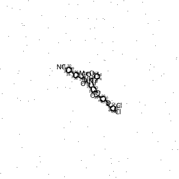 COc1cccc(F)c1CN1Cc2cc3c(cc2C[C@H]1C(=O)N[C@@H](Cc1ccc(-c2ccc(C#N)cc2)cc1)C(=O)O)OCC(c1ccc(OCc2ccc(Cl)c(Cl)c2)cc1)O3